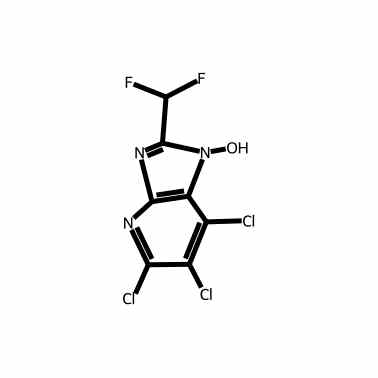 On1c(C(F)F)nc2nc(Cl)c(Cl)c(Cl)c21